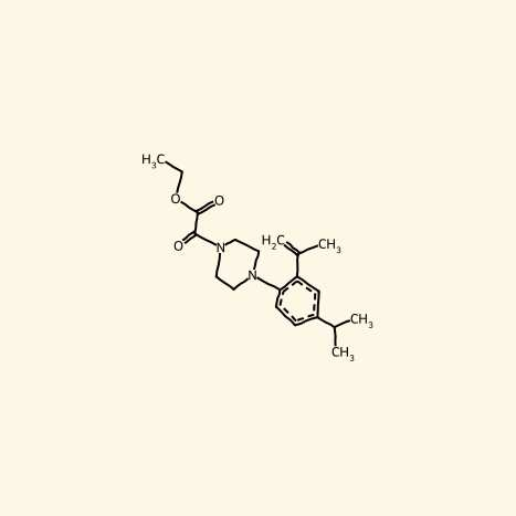 C=C(C)c1cc(C(C)C)ccc1N1CCN(C(=O)C(=O)OCC)CC1